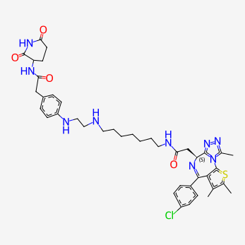 Cc1sc2c(c1C)C(c1ccc(Cl)cc1)=N[C@@H](CC(=O)NCCCCCCCNCCNc1ccc(CC(=O)NC3CCC(=O)NC3=O)cc1)c1nnc(C)n1-2